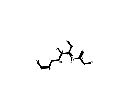 C=C(CC)/N=C(\CC)C(C)CC/C=C\C